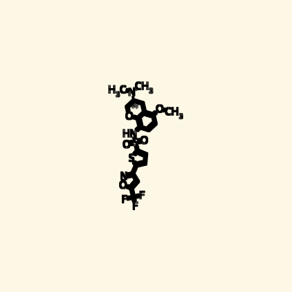 COc1ccc(NS(=O)(=O)c2ccc(-c3cc(C(F)(F)F)on3)s2)c2c1C[C@@H](N(C)C)CO2